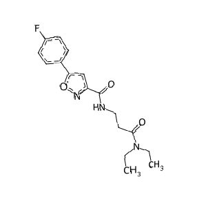 CCN(CC)C(=O)CCNC(=O)c1cc(-c2ccc(F)cc2)on1